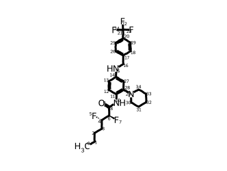 CCCC[C@H](F)[C@H](F)C(=O)Nc1ccc(NCc2ccc(C(F)(F)F)cc2)cc1N1CCCCC1